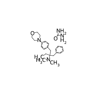 CCC(Cc1ccccc1)(Cc1ccc(N2CCOCC2)cc1)N(C)C.NC(N)=O